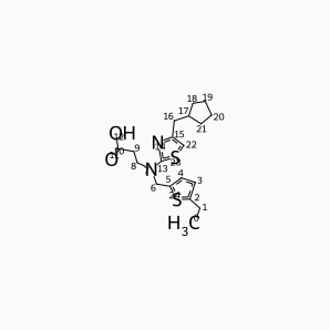 CCc1ccc(CN(CCC(=O)O)c2nc(CC3CCCC3)cs2)s1